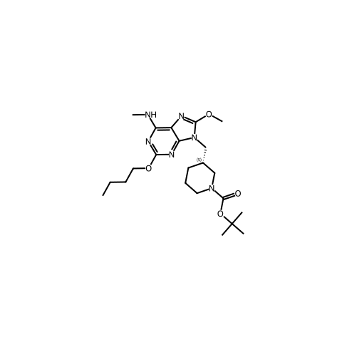 CCCCOc1nc(NC)c2nc(OC)n(C[C@H]3CCCN(C(=O)OC(C)(C)C)C3)c2n1